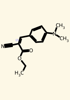 CCOC(=O)/C(C#N)=C\c1ccc(N(C)C)cc1